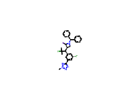 Cn1nnc(-c2cc(F)cc(C(C3CN(C(c4ccccc4)c4ccccc4)C3I)C(C)(C)F)c2)n1